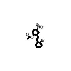 CC(=O)Oc1ccc([N+](=O)[O-])cc1C=Cc1ccccc1Br